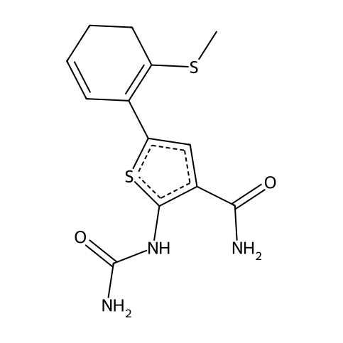 CSC1=C(c2cc(C(N)=O)c(NC(N)=O)s2)C=CCC1